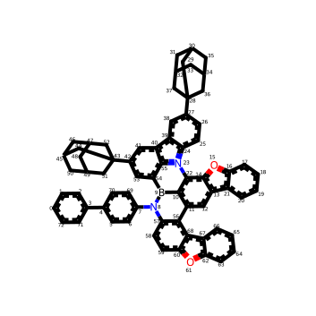 c1ccc(-c2ccc(N3B4c5c(cc6c(oc7ccccc76)c5-n5c6ccc(C78CC9CC(CC(C9)C7)C8)cc6c6cc(C78CC9CC(CC(C9)C7)C8)cc4c65)-c4c3ccc3oc5ccccc5c43)cc2)cc1